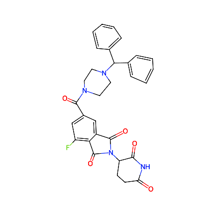 O=C1CCC(N2C(=O)c3cc(C(=O)N4CCN(C(c5ccccc5)c5ccccc5)CC4)cc(F)c3C2=O)C(=O)N1